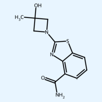 CC1(O)CN(c2nc3c(C(N)=O)[c]ccc3s2)C1